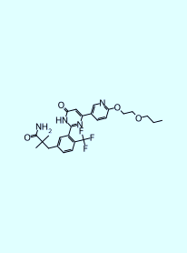 CCCOCCOc1ccc(-c2cc(=O)[nH]c(-c3cc(CC(C)(C)C(N)=O)ccc3C(F)(F)F)n2)cn1